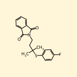 CC(C)(CCN1C(=O)c2ccccc2C1=O)Sc1ccc(F)cc1